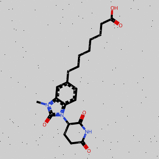 Cn1c(=O)n(C2CCC(=O)NC2=O)c2ccc(CCCCCCCC(=O)O)cc21